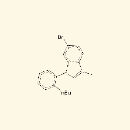 CCCCc1ccccc1C1C=C(C)c2ccc(Br)cc21